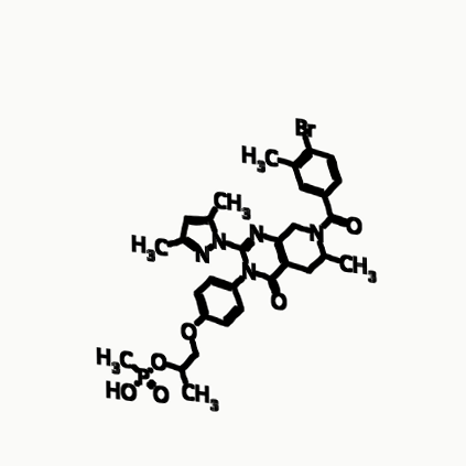 Cc1cc(C)n(-c2nc3c(c(=O)n2-c2ccc(OCC(C)OP(C)(=O)O)cc2)CC(C)N(C(=O)c2ccc(Br)c(C)c2)C3)n1